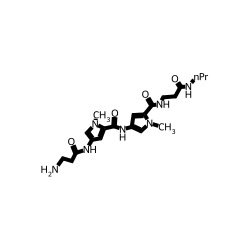 CCCNC(=O)CCNC(=O)c1cc(NC(=O)c2cc(NC(=O)CCN)cn2C)cn1C